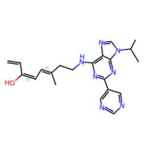 C=C/C(O)=C\C=C(/C)CCNc1nc(-c2cncnc2)nc2c1ncn2C(C)C